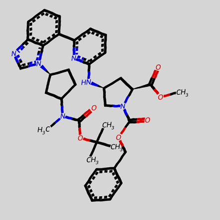 COC(=O)[C@@H]1C[C@H](Nc2cccc(-c3cccc4ncn([C@H]5CCC(N(C)C(=O)OC(C)(C)C)C5)c34)n2)CN1C(=O)OCc1ccccc1